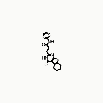 O=C(CCc1nc2sc3c(c2c(=O)[nH]1)CCCC3)Nc1nccs1